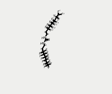 FC(F)C(F)(F)C(F)(F)C(F)(F)C(F)(F)C(F)(F)CCNC(=S)NCCC(F)(F)C(F)(F)C(F)(F)C(F)(F)C(F)(F)C(F)(F)F